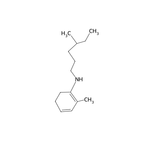 CCC(C)CCCNC1=C(C)C=CCC1